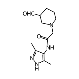 Cc1n[nH]c(C)c1NC(=O)CN1CCCC(C=O)C1